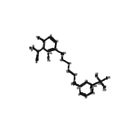 NC(=O)c1c(F)ccc(OCCCCOc2cccc(C(F)(F)F)c2)c1F